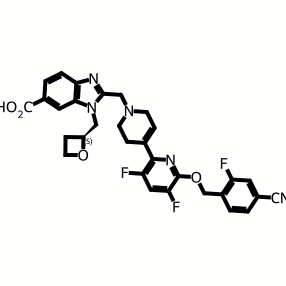 N#Cc1ccc(COc2nc(C3=CCN(Cc4nc5ccc(C(=O)O)cc5n4C[C@@H]4CCO4)CC3)c(F)cc2F)c(F)c1